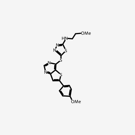 COCCNc1nnc(Sc2ncnc3cc(-c4ccc(OC)cc4)sc23)s1